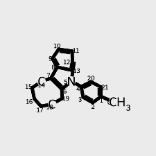 Cc1ccc(-n2c3c(c4ccccc42)CCCCCC3)cc1